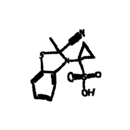 CC1(C#N)Sc2ccccc2N1C1(S(=O)(=O)O)CC1